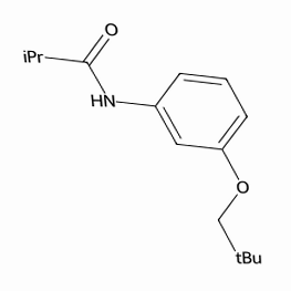 CC(C)C(=O)Nc1cccc(OCC(C)(C)C)c1